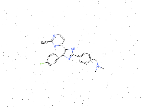 COc1nccc(-c2[nH]c(-c3ccc(CN(C)C)cc3)nc2-c2ccc(F)cc2)n1